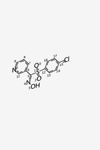 O=S(=O)(C(=NO)c1cccnc1)c1ccc(Cl)cc1